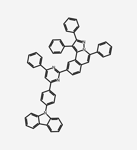 c1ccc(-c2cc(-c3ccc(-n4c5ccccc5c5ccccc54)cc3)nc(-c3ccc4cc(-c5ccccc5)n5nc(-c6ccccc6)c(-c6ccccc6)c5c4c3)n2)cc1